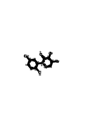 O=c1c(Br)c(Br)cnn1-c1cc(Cl)ccc1Cl